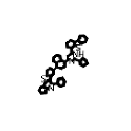 C1=C(c2cccc3c2sc2ccccc23)NC(c2ccccc2)N=C1c1ccc(-c2ccc3sc4c5ccccc5nc(-c5ccccc5)c4c3c2)c2ccccc12